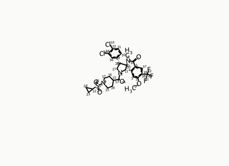 COc1ccc(C(=O)N(C)[C@H]2CN(C(=O)C3CCN(S(=O)(=O)C4CC4)CC3)C[C@@H]2c2ccc(Cl)c(Cl)c2)cc1C(F)(F)F